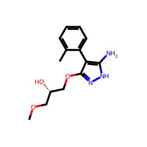 COC[C@H](O)COc1n[nH]c(N)c1-c1ccccc1C